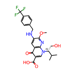 COc1nc2c(cc1NCc1ccc(C(F)(F)F)cc1)c(=O)c(C(=O)O)cn2[C@H](CO)C(C)C